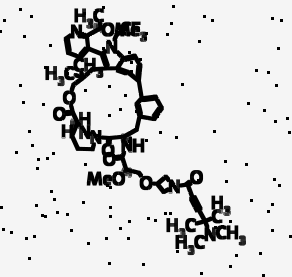 CO[C@@H](COC1CN(C(=O)C#CC(C)(C)N(C)C)C1)C(=O)N[C@H]1Cc2cccc(c2)-c2ccc3c(c2)c(c(-c2cccnc2[C@H](C)OC)n3CC(F)(F)F)CC(C)(C)COC(=O)[C@@H]2CCCN(N2)C1=O